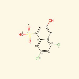 O=S(=O)(O)c1cc(O)cc2c(Cl)cc(Cl)cc12